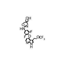 OC[C@]1(F)CN=C(Nc2cc(F)c(Oc3ccnc4[nH]cc(CCOC(F)(F)F)c34)c(F)c2)OC1